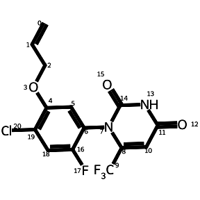 C=CCOc1cc(-n2c(C(F)(F)F)cc(=O)[nH]c2=O)c(F)cc1Cl